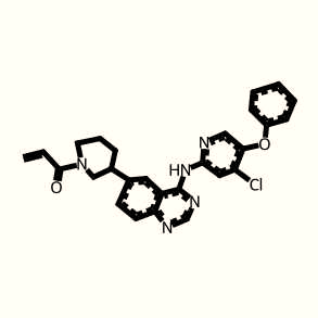 C=CC(=O)N1CCCC(c2ccc3ncnc(Nc4cc(Cl)c(Oc5ccccc5)cn4)c3c2)C1